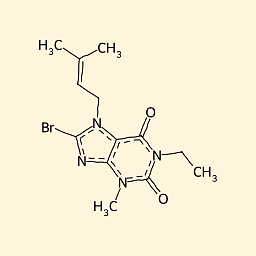 CCn1c(=O)c2c(nc(Br)n2CC=C(C)C)n(C)c1=O